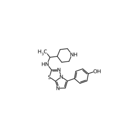 CC(Nc1nn2c(-c3ccc(O)cc3)cnc2s1)C1CCNCC1